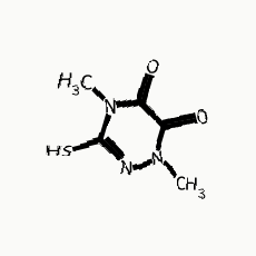 Cn1nc(S)n(C)c(=O)c1=O